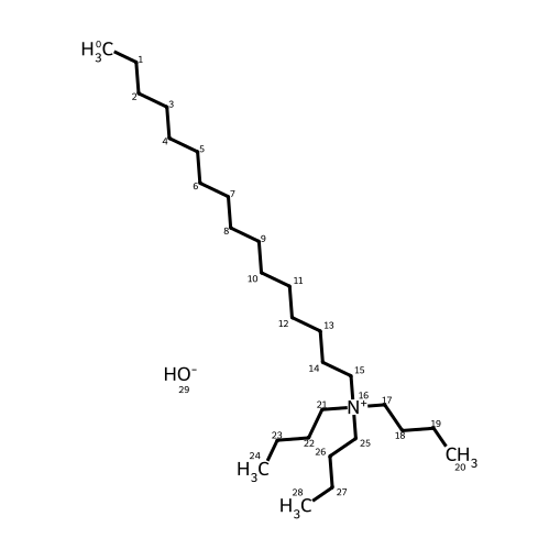 CCCCCCCCCCCCCCCC[N+](CCCC)(CCCC)CCCC.[OH-]